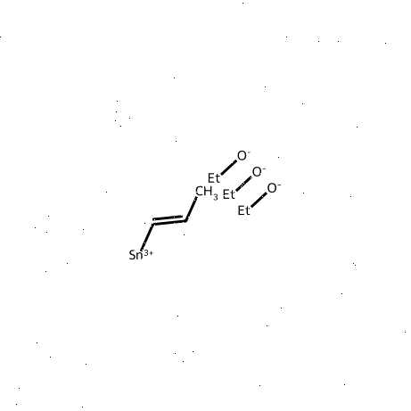 CC=[CH][Sn+3].CC[O-].CC[O-].CC[O-]